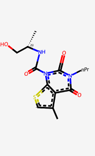 CCCn1c(=O)c2c(C)[c]sc2n(C(=O)N[C@@H](C)CO)c1=O